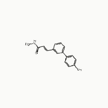 O=C(C=Cc1cccc(-c2ccc(O)cc2)c1)NO